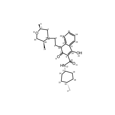 C[C@H]1CN(CCn2c(=O)c(C(=O)N[C@H]3CC[C@@H](C)CC3)c(O)c3cccnc32)[C@@H](C)CO1